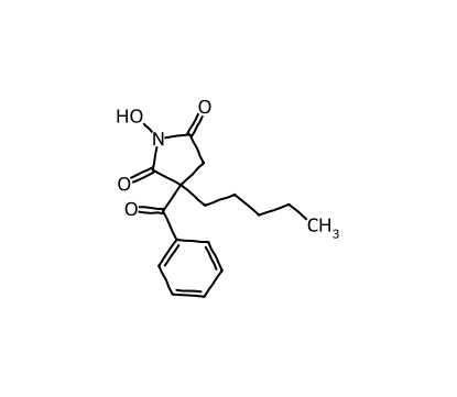 CCCCCC1(C(=O)c2ccccc2)CC(=O)N(O)C1=O